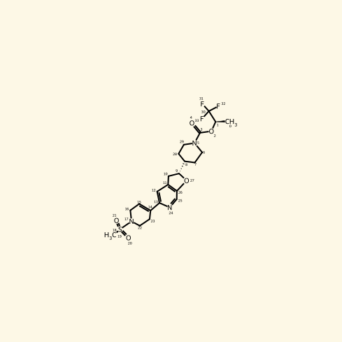 C[C@@H](OC(=O)N1CCC([C@H]2Cc3cc(C4=CCN(S(C)(=O)=O)CC4)ncc3O2)CC1)C(F)(F)F